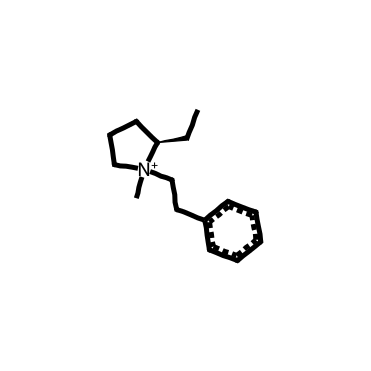 CC[C@@H]1CCC[N+]1(C)CCc1ccccc1